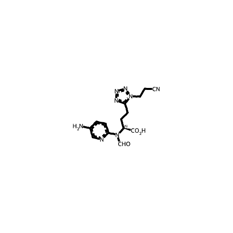 N#CCCn1nnnc1CC[C@@H](C(=O)O)N(C=O)c1ccc(N)cn1